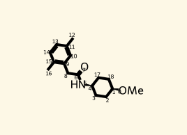 CO[C@H]1CC[C@@H](NC(=O)Cc2cc(C)ccc2C)CC1